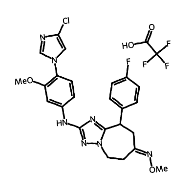 CON=C1CCn2nc(Nc3ccc(-n4cnc(Cl)c4)c(OC)c3)nc2C(c2ccc(F)cc2)C1.O=C(O)C(F)(F)F